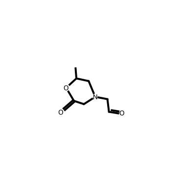 CC1CN(CC=O)CC(=O)O1